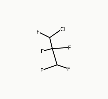 FC(F)C(F)(F)C(F)Cl